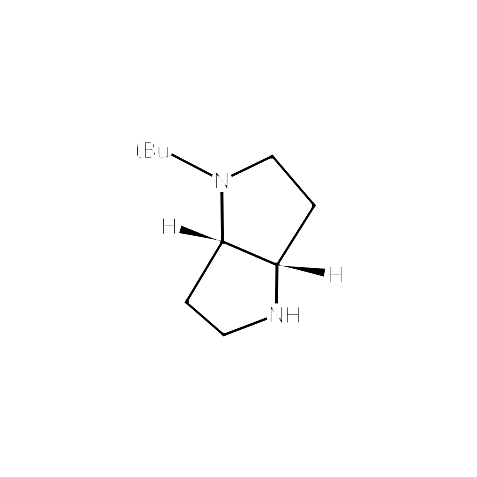 CC(C)(C)N1CC[C@@H]2NCC[C@@H]21